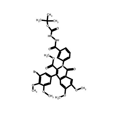 COC(=O)c1c(-c2cc(Br)c(OC)c(OC)c2)c2cc(OC)c(OC)cc2c(=O)n1-c1cccc(C(=O)NNC(=O)OC(C)(C)C)c1